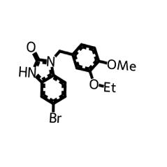 CCOc1cc(Cn2c(=O)[nH]c3cc(Br)ccc32)ccc1OC